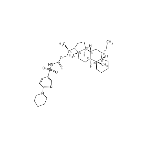 CC[C@H]1C[C@@H]2[C@H](CC[C@]3(C)C([C@H](C)COC(=O)NS(=O)(=O)c4ccc(N5CCCCC5)nc4)CC[C@@H]23)[C@@]2(C)CCCC[C@@H]12